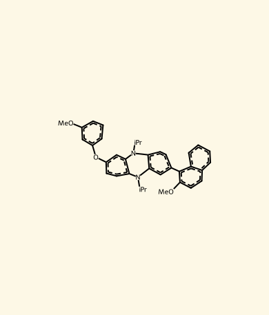 COc1cccc(Oc2ccc3c(c2)N(C(C)C)c2ccc(-c4c(OC)ccc5ccccc45)cc2N3C(C)C)c1